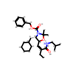 CCC(=CC1OC(C)(C)N(C(=O)OCc2ccccc2)[C@H]1CC1CCCCC1)C(=O)NCC(C)C